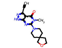 C#Cc1n[nH]c2nc(N3CCC4(CCOC4)CC3)n(C)c(=O)c12